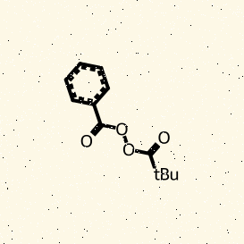 CC(C)(C)C(=O)OOC(=O)c1ccccc1